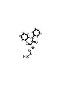 CCONC(=O)C(=O)N(c1ccccc1)c1ccccc1